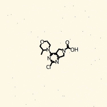 CC1COCCN1c1nc(Cl)nc2c1CN(C(=O)O)C2